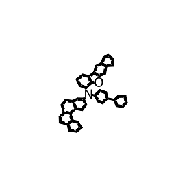 c1ccc(-c2ccc(N(c3ccc4c(ccc5ccc6ccccc6c54)c3)c3cccc4c3oc3cc5ccccc5cc34)cc2)cc1